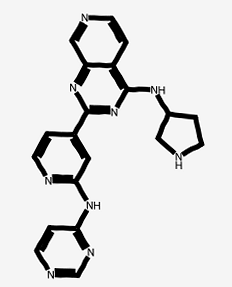 c1cc(Nc2cc(-c3nc(NC4CCNC4)c4ccncc4n3)ccn2)ncn1